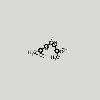 COc1ccc(-c2cnc3c(c2)C(c2ccc(-c4ccc(OC)c(OC)c4)nc2)CN3)cc1OC